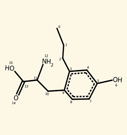 CCCc1cc(O)ccc1CC(N)C(=O)O